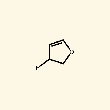 FC1[C]OC=C1